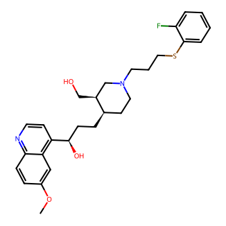 COc1ccc2nccc([C@H](O)CC[C@@H]3CCN(CCCSc4ccccc4F)C[C@@H]3CO)c2c1